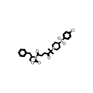 CC(C)(C(=O)CCC(=O)N1C(=O)OCC1Cc1ccccc1)N1CCC(S(=O)(=O)c2ccc(Cl)cc2)CC1